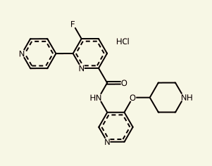 Cl.O=C(Nc1cnccc1OC1CCNCC1)c1ccc(F)c(-c2ccncc2)n1